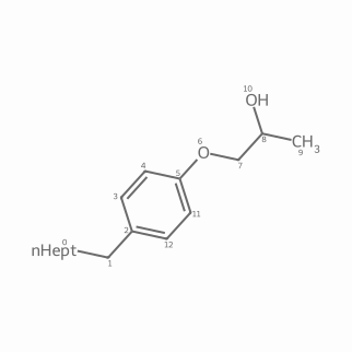 CCCCCCCCc1ccc(OCC(C)O)cc1